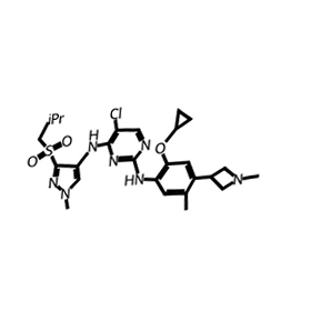 Cc1cc(Nc2ncc(Cl)c(Nc3cn(C)nc3S(=O)(=O)CC(C)C)n2)c(OC2CC2)cc1C1CN(C)C1